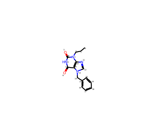 CCCn1c(=O)[nH]c(=O)c2c1ncn2Cc1ccccc1